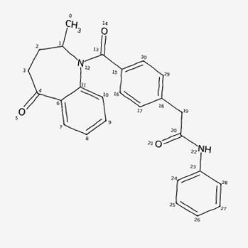 CC1CCC(=O)c2ccccc2N1C(=O)c1ccc(CC(=O)Nc2ccccc2)cc1